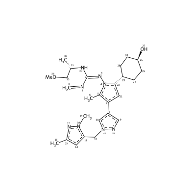 C=N/C(=N\n1c(C)c(-c2cnn(Cc3cc(C)nn3C)c2)cc1[C@H]1CC[C@H](O)CC1)N[C@@H](C)COC